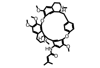 COc1cc(NC(=O)C=C(C)C)c2cc1Oc1ccc(cc1)C[C@H]1c3cc(c(OC)cc3CCN1C)Oc1c(OC)c(OC)cc3c1[C@H](C2)N(C)CC3